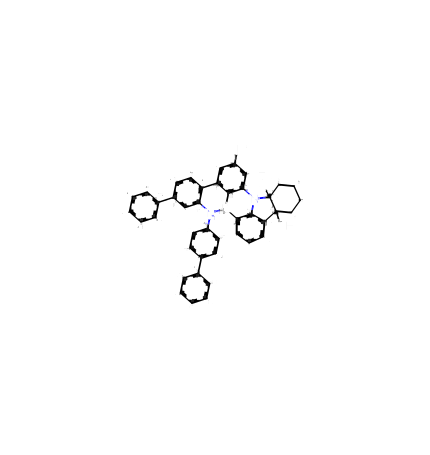 CC(C)(C)c1cc2c3c(c1)N1c4c(cccc4C4(C)CCCCC14C)B3N(c1ccc(-c3ccccc3)cc1)c1cc(-c3ccccc3)ccc1-2